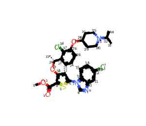 COC(=O)c1sc(-n2cnc3cc(Cl)ccc32)cc1O[C@H](C)c1cccc(OC2CCN(C(C)C)CC2)c1Cl